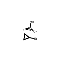 CCC1CC1.O=[PH](O)O